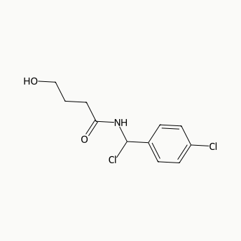 O=C(CCCO)NC(Cl)c1ccc(Cl)cc1